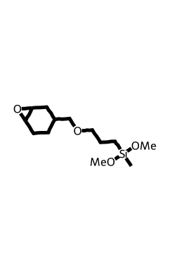 CO[Si](C)(CCCOCC1CCC2OC2C1)OC